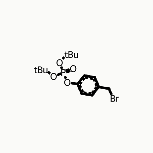 CC(C)(C)OP(=O)(Oc1ccc(CBr)cc1)OC(C)(C)C